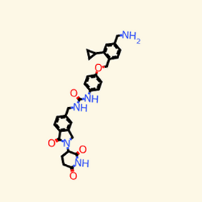 NCc1ccc(COc2ccc(NC(=O)NCc3ccc4c(c3)CN(C3CCC(=O)NC3=O)C4=O)cc2)c(C2CC2)c1